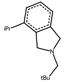 CC(C)c1cccc2c1CN(CC(C)(C)C)C2